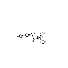 O=C=NC[N+](=O)[O-]